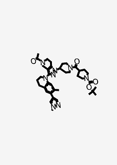 CC(=O)N1CCc2c(c(N3CCCc4cc(-c5cnn(C)c5)c(C)cc43)nn2C2CCN(C(=O)C3CCN(C(=O)OC(C)(C)C)CC3)CC2)C1